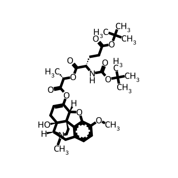 COc1ccc2c3c1O[C@H]1C(OC(=O)[C@H](C)OC(=O)[C@H](CCC(=O)OC(C)(C)C)NC(=O)OC(C)(C)C)=CC[C@@]4(O)[C@@H](C2)N(C)CC[C@]314